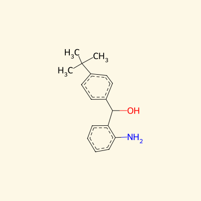 CC(C)(C)c1ccc(C(O)c2ccccc2N)cc1